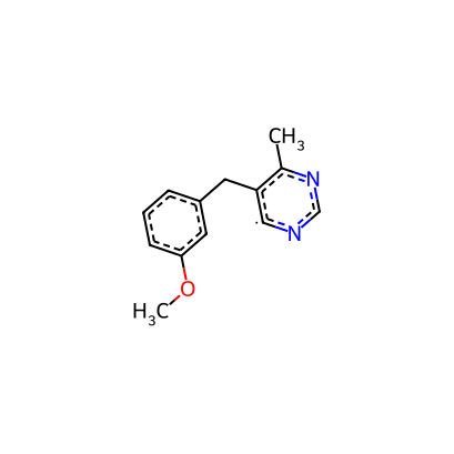 COc1cccc(Cc2[c]ncnc2C)c1